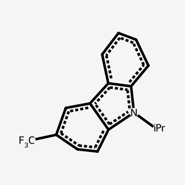 CC(C)n1c2ccccc2c2cc(C(F)(F)F)ccc21